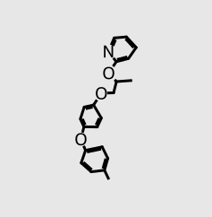 Cc1ccc(Oc2ccc(OCC(C)Oc3ccccn3)cc2)cc1